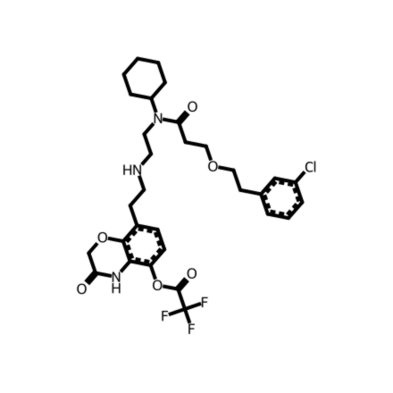 O=C1COc2c(CCNCCN(C(=O)CCOCCc3cccc(Cl)c3)C3CCCCC3)ccc(OC(=O)C(F)(F)F)c2N1